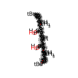 C=CC1(CCCO)c2cc(-c3ccc4c(c3)C(C)(C)c3cc(-c5ccc6ccc7cc(C(C)(C)C)cc8ccc5c6c78)ccc3-4)ccc2-c2ccc(-c3ccc4c(c3)C(CC)(CC)c3cc(-c5ccc6c(c5)C(C=C)(CCCO)c5cc(-c7ccc8c(c7)C(C)(C)c7cc(-c9ccc%10ccc%11cc(C(C)(C)C)cc%12ccc9c%10c%11%12)ccc7-8)ccc5-6)ccc3-4)cc21